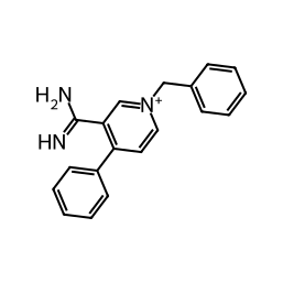 N=C(N)c1c[n+](Cc2ccccc2)ccc1-c1ccccc1